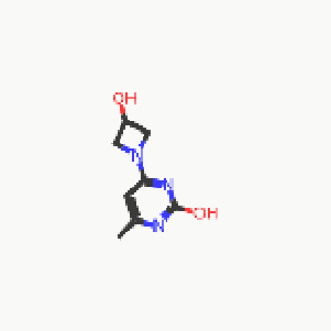 Cc1cc(N2CC(O)C2)nc(O)n1